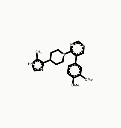 COc1ccc(-c2cncnc2N2CCC(c3nc[nH]c3C)CC2)cc1OC